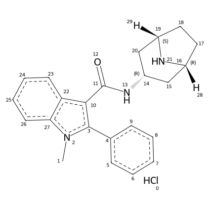 Cl.Cn1c(-c2ccccc2)c(C(=O)N[C@H]2C[C@H]3CC[C@@H](C2)N3)c2ccccc21